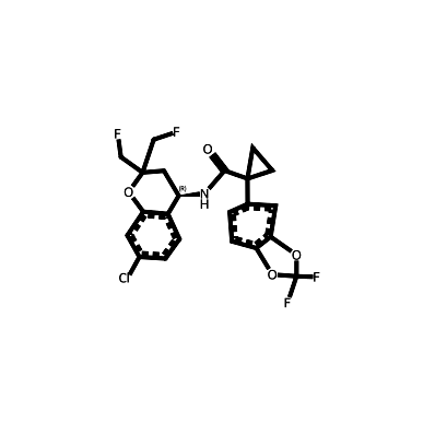 O=C(N[C@@H]1CC(CF)(CF)Oc2cc(Cl)ccc21)C1(c2ccc3c(c2)OC(F)(F)O3)CC1